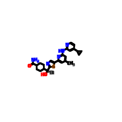 CC[C@@](O)(c1ncc(-c2cc(C)cc(Nc3cc(C4CC4)ccn3)n2)s1)C1CCC(C(N)=O)CC1